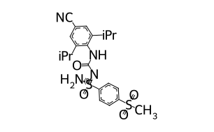 CC(C)c1cc(C#N)cc(C(C)C)c1NC(=O)N=[S@@](N)(=O)c1ccc(S(C)(=O)=O)cc1